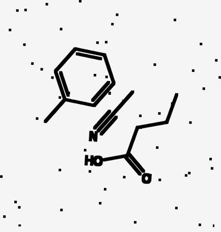 CC#N.CCCC(=O)O.Cc1ccccc1